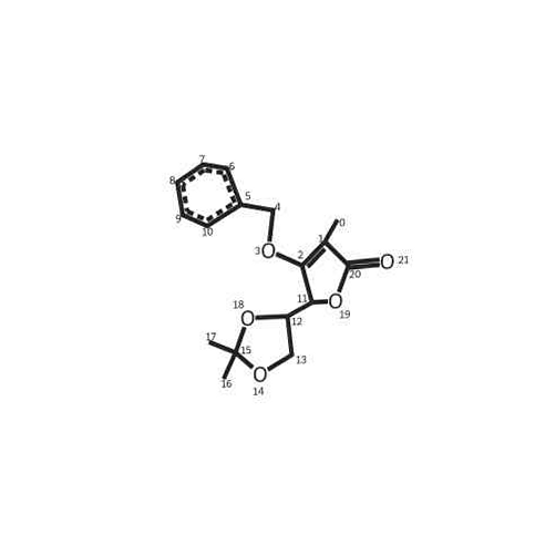 CC1=C(OCc2ccccc2)C(C2COC(C)(C)O2)OC1=O